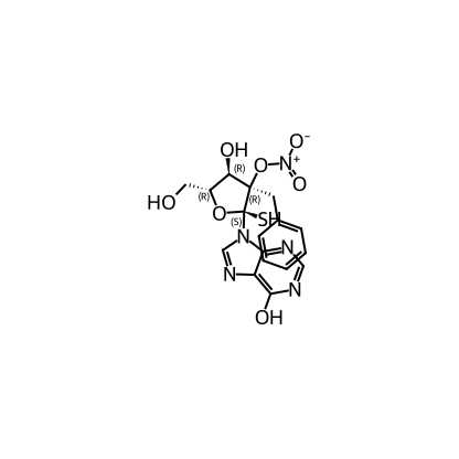 O=[N+]([O-])O[C@]1(Cc2ccccc2)[C@H](O)[C@@H](CO)O[C@@]1(S)n1cnc2c(O)ncnc21